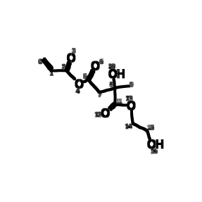 C=CC(=O)OC(=O)CC(C)(O)C(=O)OCCO